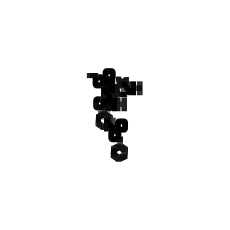 CCOC(=O)n1nc(NC(=O)[C@@H]2CCCN(C(=O)OCc3ccccc3)C2)c2c1C(C)(C)NC2